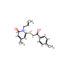 C=CCn1c(SCC(=O)c2ccc(C)cc2)cc(C)cc1=O